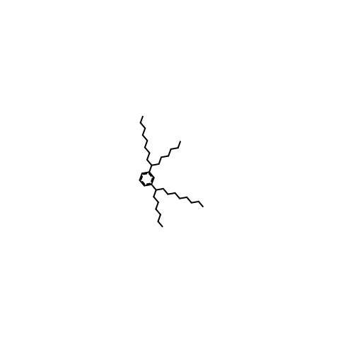 CCCCCCCCC(CCCCCC)c1cccc(C(CCCCCC)CCCCCCCC)c1